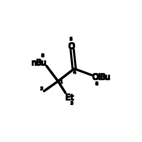 CCCCC(C)(CC)C(=O)OCC(C)C